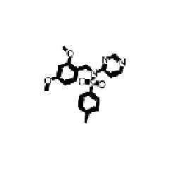 COc1ccc(CN(c2ccncn2)S(=O)(=O)c2ccc(C)cc2)c(OC)c1